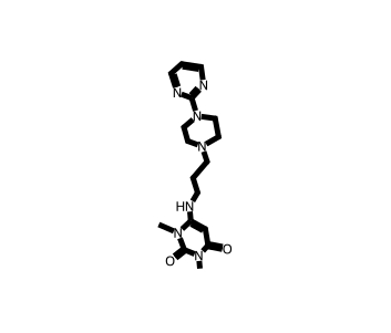 Cn1c(NCCCN2CCN(c3ncccn3)CC2)cc(=O)n(C)c1=O